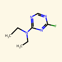 CCN(CC)c1ncnc(F)n1